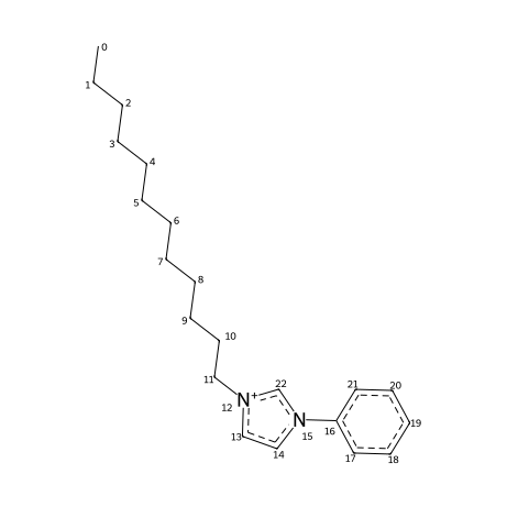 CCCCCCCCCCCC[n+]1ccn(-c2ccccc2)c1